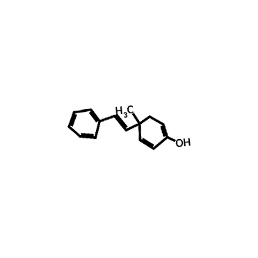 CC1(C=Cc2ccccc2)C=CC(O)=CC1